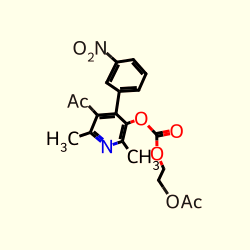 CC(=O)OCCOC(=O)Oc1c(C)nc(C)c(C(C)=O)c1-c1cccc([N+](=O)[O-])c1